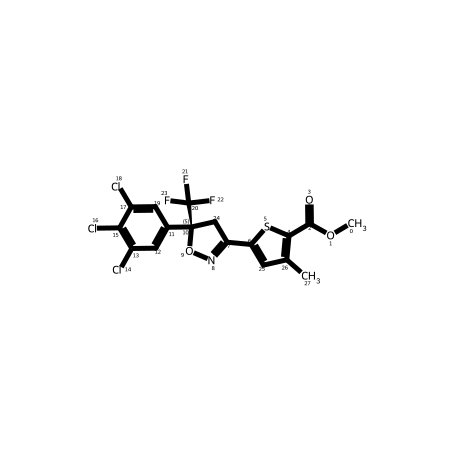 COC(=O)c1sc(C2=NO[C@@](c3cc(Cl)c(Cl)c(Cl)c3)(C(F)(F)F)C2)cc1C